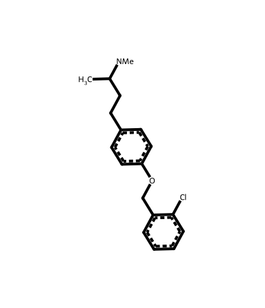 CNC(C)CCc1ccc(OCc2ccccc2Cl)cc1